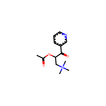 CC(=O)OC(C[N+](C)(C)C)C(=O)c1cccnc1